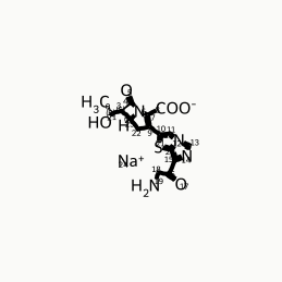 C[C@@H](O)[C@H]1C(=O)N2C(C(=O)[O-])=C(c3cn4cnc(C(=O)CN)c4s3)C[C@H]12.[Na+]